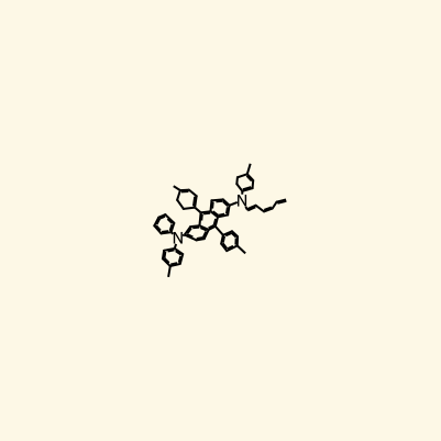 C=C/C=C\C=C\N(C1=CC=C(C)CC1)c1ccc2c(C3=CC=C(C)CC3)c3cc(N(c4ccccc4)c4ccc(C)cc4)ccc3c(-c3ccc(C)cc3)c2c1